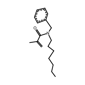 C=C(C)C(=O)N(CCCCCCC)Cc1ccccc1